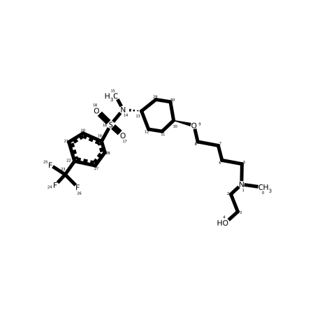 CN(CCO)CCCCO[C@H]1CC[C@H](N(C)S(=O)(=O)c2ccc(C(F)(F)F)cc2)CC1